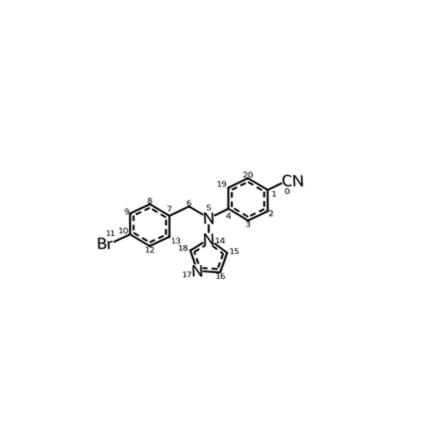 N#Cc1ccc(N(Cc2ccc(Br)cc2)n2ccnc2)cc1